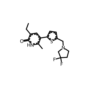 CCc1cc(-c2ccc(CN3CCC(F)(F)C3)s2)c(C)[nH]c1=O